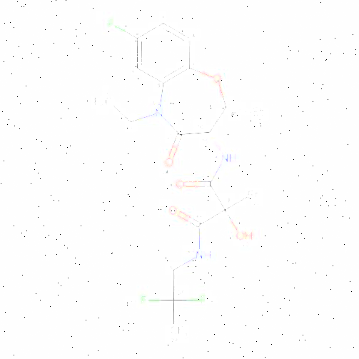 CC[C@H]1Oc2ccc(F)cc2N(CC(F)(F)F)C(=O)[C@H]1NC(=O)C(O)(CC)C(=O)NCC(F)(F)C(F)(F)F